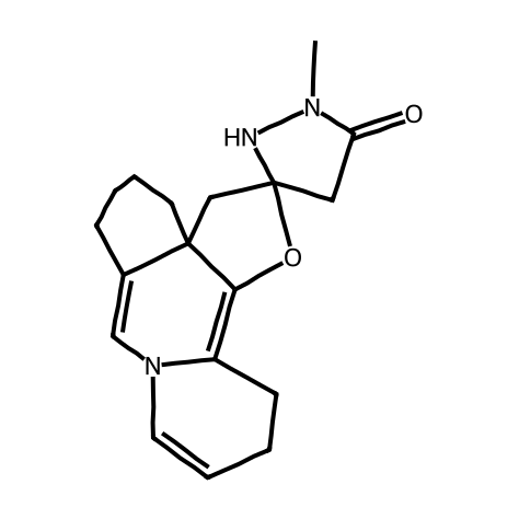 CN1NC2(CC1=O)CC13CCCCC1=CN1C=CCCC1=C3O2